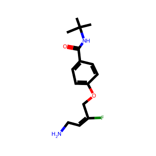 CC(C)(C)NC(=O)c1ccc(OC/C(F)=C\CN)cc1